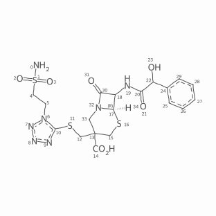 NS(=O)(=O)CCn1nnnc1SCC1(C(=O)O)CS[C@@H]2C(NC(=O)C(O)c3ccccc3)C(=O)N2C1